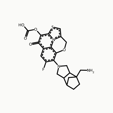 NCC12CCC(C1)C1CN(c3c(F)cc4c(=O)c(OC(=O)O)c5scc6n5c4c3OC6)CC12